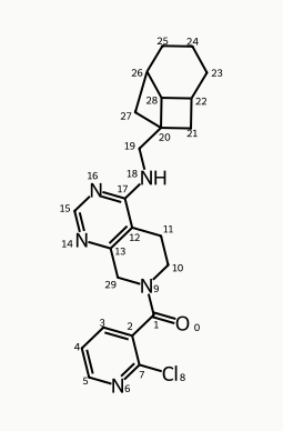 O=C(c1cccnc1Cl)N1CCc2c(ncnc2NCC23CC4CCCC(C2)C43)C1